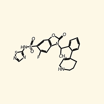 CC(c1ccccc1C1=CCNCCC1)n1c(=O)oc2cc(S(=O)(=O)Nc3ncns3)c(F)cc21